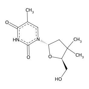 Cc1cn([C@@H]2CC(C)(C)[C@@H](CO)O2)c(=O)[nH]c1=O